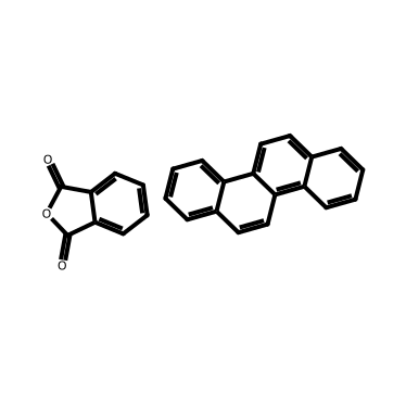 O=C1OC(=O)c2ccccc21.c1ccc2c(c1)ccc1c3ccccc3ccc21